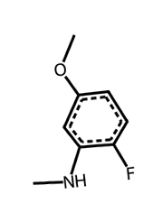 CNc1cc(OC)ccc1F